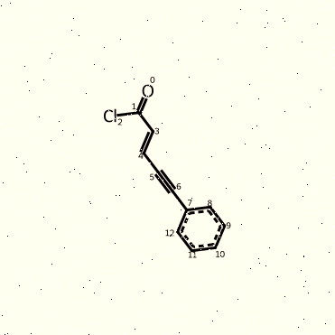 O=C(Cl)/C=C/C#Cc1ccccc1